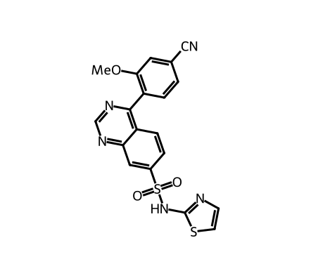 COc1cc(C#N)ccc1-c1ncnc2cc(S(=O)(=O)Nc3nccs3)ccc12